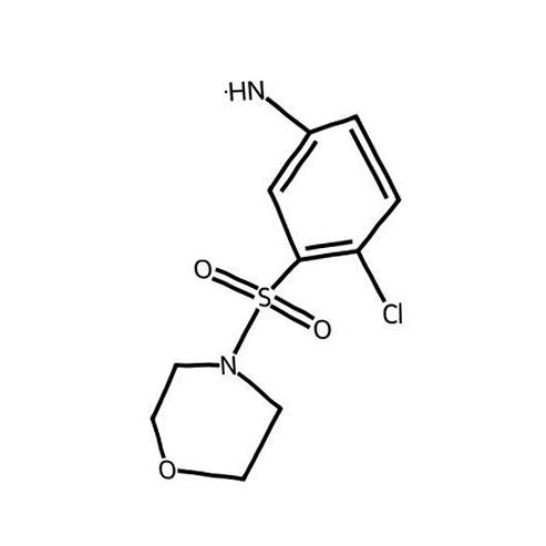 [NH]c1ccc(Cl)c(S(=O)(=O)N2CCOCC2)c1